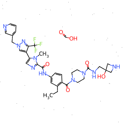 CCc1cc(NC(=O)c2ncc(-c3cn(Cc4cccnc4)nc3C(F)(F)F)n2C)ccc1C(=O)N1CCN(C(=O)NCC2(O)CNC2)CC1.O=CO